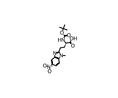 Cn1c(CC[C@@H](NC(=O)OC(C)(C)C)C(=O)O)nc2cc([N+](=O)[O-])ccc21